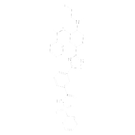 CC(C)CCN(C)c1ccc(-c2noc(-c3cccc(C(=O)NS(=O)(=O)c4ccccc4)c3)n2)cc1NC(C)c1ccccc1